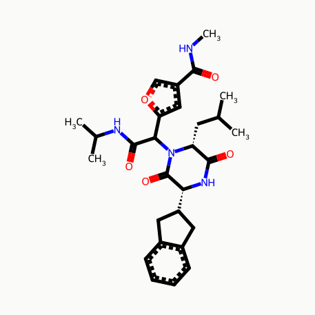 CNC(=O)c1coc(C(C(=O)NC(C)C)N2C(=O)[C@@H](C3Cc4ccccc4C3)NC(=O)[C@H]2CC(C)C)c1